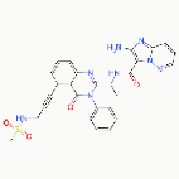 CC(NC(=O)c1c(N)nc2cccnn12)c1nc2cccc(C#CCNS(C)(=O)=O)c2c(=O)n1-c1ccccc1